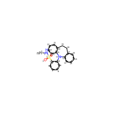 CCCNS(=O)(=O)c1ccccc1N1c2ccccc2CCc2ccccc21